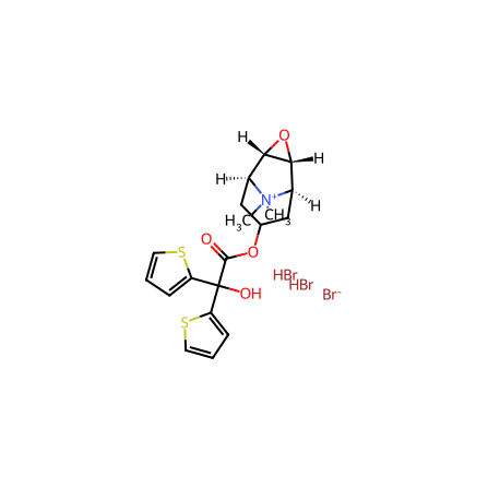 Br.Br.C[N+]1(C)[C@@H]2CC(OC(=O)C(O)(c3cccs3)c3cccs3)C[C@H]1[C@@H]1O[C@@H]12.[Br-]